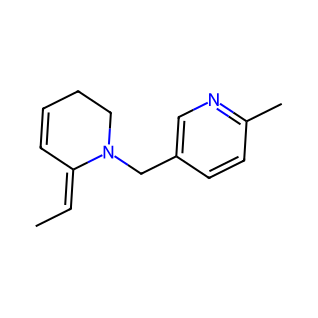 C/C=C1\C=CCCN1Cc1ccc(C)nc1